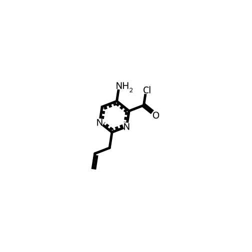 C=CCc1ncc(N)c(C(=O)Cl)n1